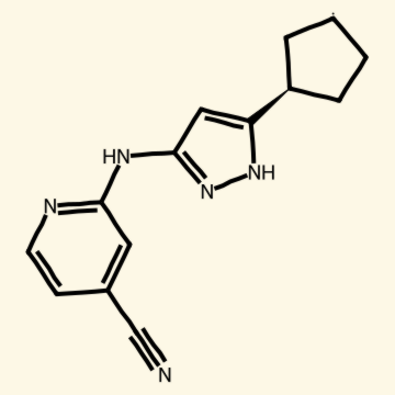 N#Cc1ccnc(Nc2cc([C@H]3C[CH]CC3)[nH]n2)c1